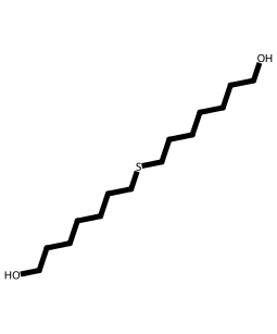 OCCCCCCCSCCCCCCCO